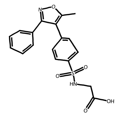 Cc1onc(-c2ccccc2)c1-c1ccc(S(=O)(=O)NCC(=O)O)cc1